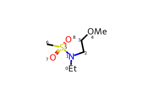 CCN(CCOC)S(C)(=O)=O